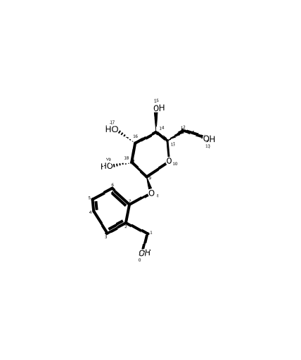 OCc1ccccc1O[C@@H]1O[C@H](CO)[C@H](O)[C@@H](O)[C@H]1O